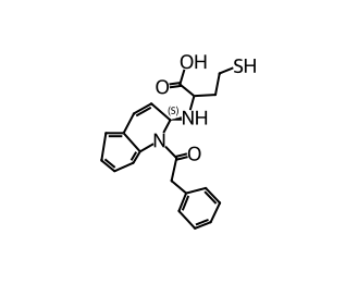 O=C(O)C(CCS)N[C@@H]1C=Cc2ccccc2N1C(=O)Cc1ccccc1